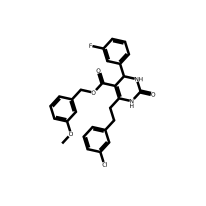 COc1cccc(COC(=O)C2=C(CCc3cccc(Cl)c3)NC(=O)NC2c2cccc(F)c2)c1